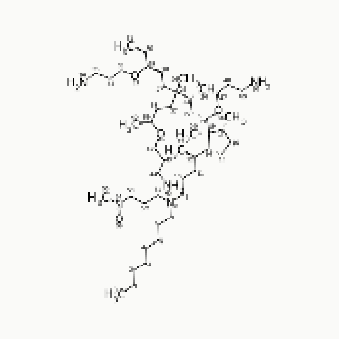 CCCCCCCCN(CCC[C@@H](C)[C@H]1CC[C@@H](C)[C@]1(C)[C@H](C[C@@H](C)[C@@](C)(CC[C@H](CC)OCCCN)CC[C@H](C)OCCCN)OCCCN)CCC[Si](C)=O